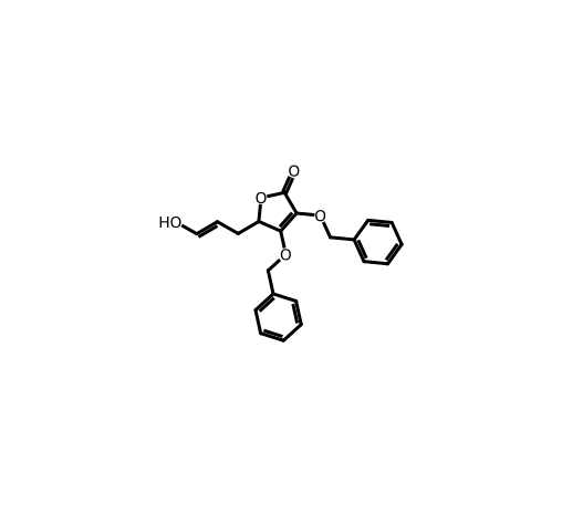 O=C1OC(CC=CO)C(OCc2ccccc2)=C1OCc1ccccc1